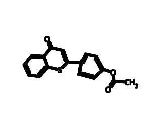 CC(=O)Oc1ccc(-c2cc(=O)c3ccccc3s2)cc1